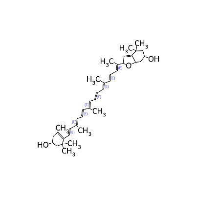 CC1=C(/C=C/C(C)=C/C=C/C(C)=C/C=C/C=C(C)/C=C/C=C(\C)C2C=C3C(CC(O)CC3(C)C)O2)C(C)(C)CC(O)C1